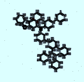 c1ccc(-c2ccc(N(c3cccc(-c4ccc5c(c4)c(-c4ccccc4)c(-c4ccccc4)c4ccccc45)c3)c3ccc4c(c3)oc3ccccc34)c(-c3ccccc3)c2)cc1